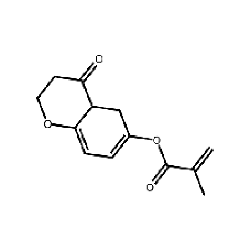 C=C(C)C(=O)OC1=CC=C2OCCC(=O)C2C1